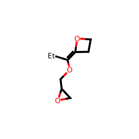 CCC(OCC1CO1)=C1CCO1